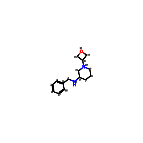 c1ccc(CNC2CCCN(C3COC3)C2)cc1